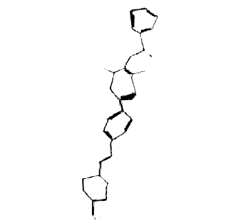 CCCC1CCC(CCc2ccc(C3=CC(F)=C(C[C@H](C)c4ccccc4)C(F)C3)cc2)CC1